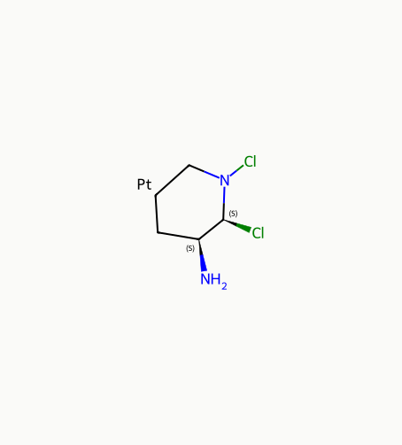 N[C@H]1CCCN(Cl)[C@H]1Cl.[Pt]